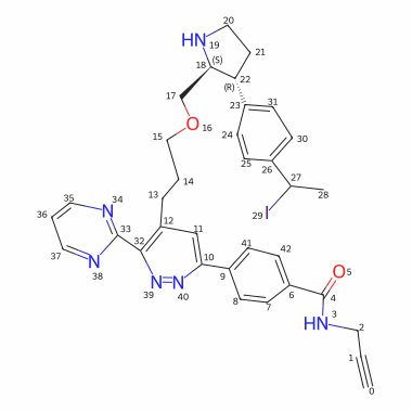 C#CCNC(=O)c1ccc(-c2cc(CCCOC[C@H]3NCC[C@@H]3c3ccc(C(C)I)cc3)c(-c3ncccn3)nn2)cc1